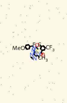 COc1ccc(CN2N=C(c3nccnc3C(C)NC(=O)c3cc(C(F)(F)F)cc(C(F)(F)F)c3)SCC2=O)cc1